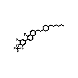 CCCCCCC1CCC(CCc2ccc3c(F)c(-c4cc(F)c(OC(F)(F)F)c(F)c4)ccc3c2)CC1